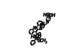 COC(=O)N(NC(=O)c1c(Cn2cc(CN3CCS(O)(O)CC3)nn2)c(-c2ccccc2)nc2ccccc12)c1ccccc1